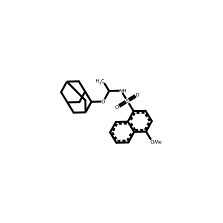 COc1ccc(S(=O)(=O)NC(C)OC2C3CC4CC(C3)CC2C4)c2ccccc12